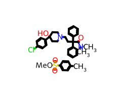 CN(C)C(=O)C(CCN1CCC(O)(c2ccc(Cl)cc2)CC1)(c1ccccc1)c1ccccc1.COS(=O)(=O)c1ccc(C)cc1